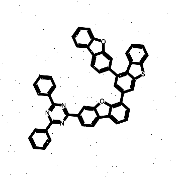 c1ccc(-c2nc(-c3ccccc3)nc(-c3ccc4c(c3)oc3c(-c5cc(-c6ccc7c(c6)oc6ccccc67)c6c(c5)sc5ccccc56)cccc34)n2)cc1